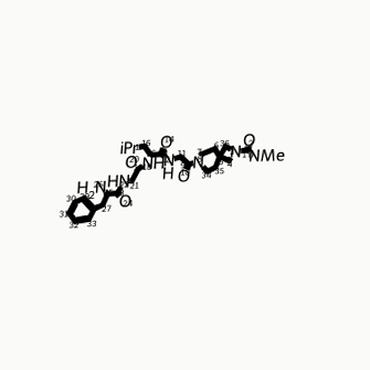 CNC(=O)N1CC2(CCN(C(=O)CNC(=O)C(CC(C)C)NC(=O)CNC(=O)C(N)Cc3ccccc3)CC2)C1